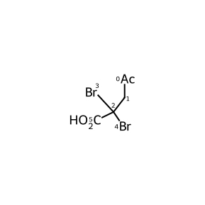 CC(=O)CC(Br)(Br)C(=O)O